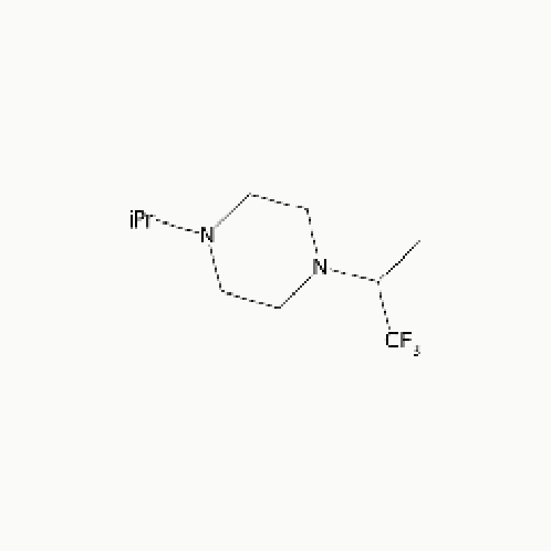 CC(C)N1CCN(C(C)C(F)(F)F)CC1